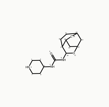 O=C(NC1CCNCC1)NC1OC2CC3CCC1C(C3)C2